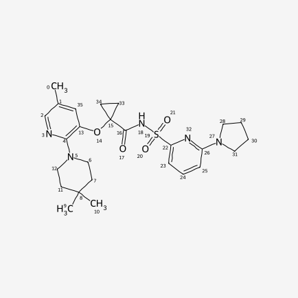 Cc1cnc(N2CCC(C)(C)CC2)c(OC2(C(=O)NS(=O)(=O)c3cccc(N4CCCC4)n3)CC2)c1